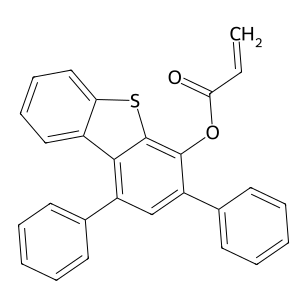 C=CC(=O)Oc1c(-c2ccccc2)cc(-c2ccccc2)c2c1sc1ccccc12